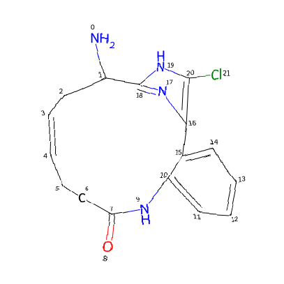 NC1CC=CCCC(=O)Nc2ccccc2-c2nc1[nH]c2Cl